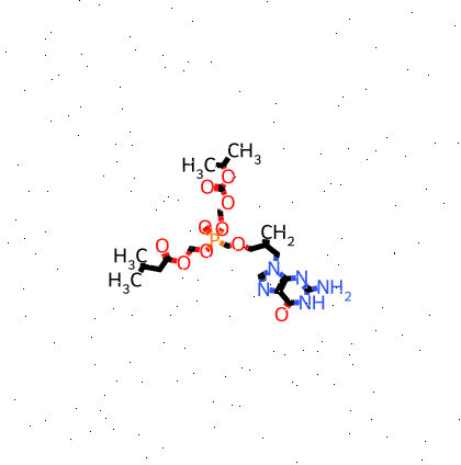 C=C(COCP(=O)(OCOC(=O)CC(C)C)OCOC(=O)OC(C)C)Cn1cnc2c(=O)[nH]c(N)nc21